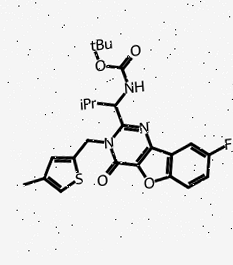 Cc1csc(Cn2c(C(NC(=O)OC(C)(C)C)C(C)C)nc3c(oc4ccc(F)cc43)c2=O)c1